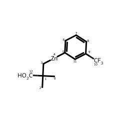 CC(C)([CH2][Zn][c]1cccc(C(F)(F)F)c1)C(=O)O